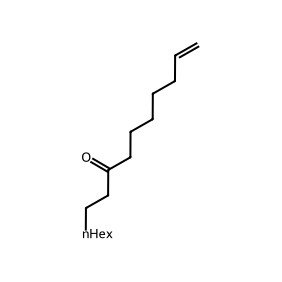 C=CCCCCCC(=O)CCCCCCCC